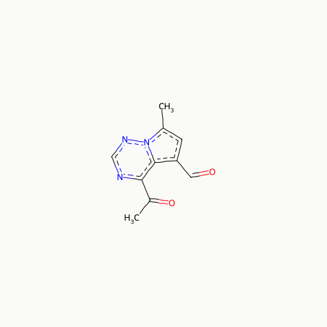 CC(=O)c1ncnn2c(C)cc(C=O)c12